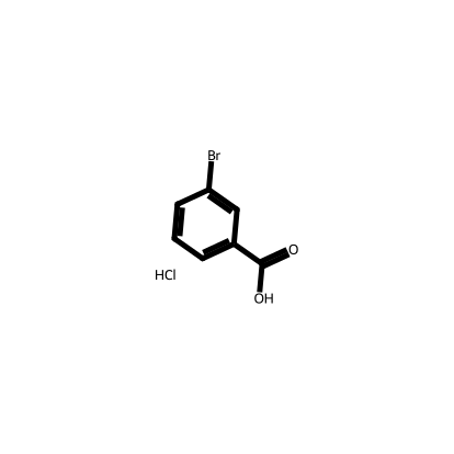 Cl.O=C(O)c1cccc(Br)c1